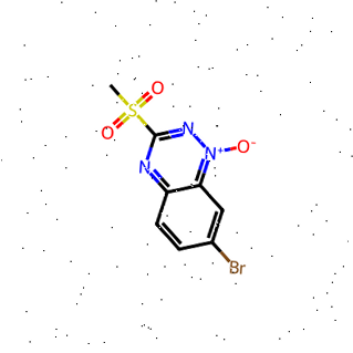 CS(=O)(=O)c1nc2ccc(Br)cc2[n+]([O-])n1